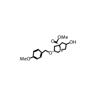 COC(=O)[C@]12CC(O)CN1C[C@H](OCc1ccc(OC)cc1)C2